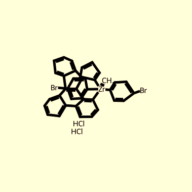 Cl.Cl.[CH2]=[Zr]([C]1=CC=CC1)([c]1ccc(Br)cc1)([c]1ccc(Br)cc1)[c]1cccc2c1c1c(c3ccccc32)-c2ccccc2C1